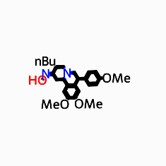 CCCCC1CN2CC(c3ccc(OC)cc3)c3cc(OC)c(OC)cc3C2CC1=NO